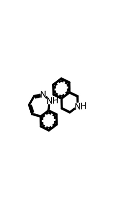 C1=Cc2ccccc2NN=C1.c1ccc2c(c1)CCNC2